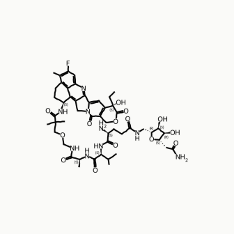 CC[C@@]1(O)C(=O)OCc2c1cc1n(c2=O)Cc2c-1nc1cc(F)c(C)c3c1c2[C@@H](NC(=O)C(C)(C)COCNC(=O)[C@H](C)NC(=O)[C@@H](NC(=O)[C@@H](N)CCC(=O)NC[C@H]1O[C@@H](CC(N)=O)[C@H](O)[C@@H]1O)C(C)C)CC3